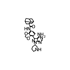 Nc1ncnc2c1c(-c1ccc(NC(=O)C34CC5CC(CC(C5)C3)C4)c3c1OCO3)nn2[C@@H]1CCCNC1